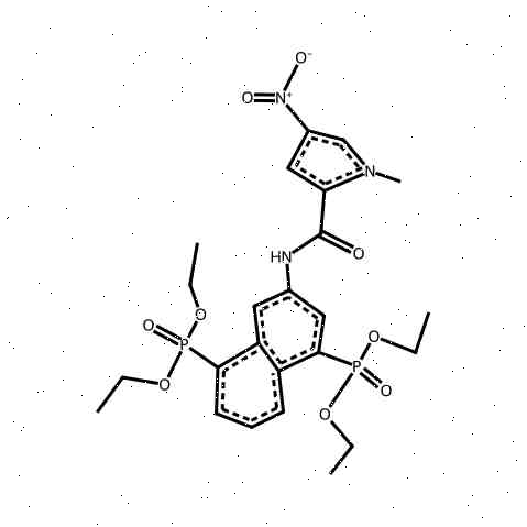 CCOP(=O)(OCC)c1cc(NC(=O)c2cc([N+](=O)[O-])cn2C)cc2c(P(=O)(OCC)OCC)cccc12